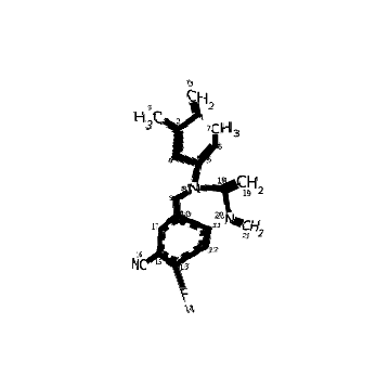 C=C/C(C)=C\C(=C/C)N(Cc1ccc(F)c(C#N)c1)C(=C)N=C